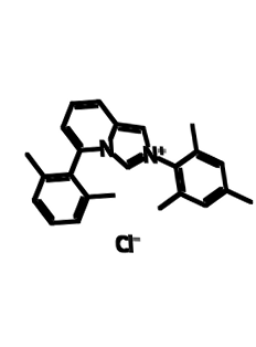 Cc1cc(C)c(-[n+]2cc3cccc(-c4c(C)cccc4C)n3c2)c(C)c1.[Cl-]